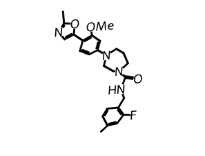 COc1cc(N2CCCN(C(=O)NCc3ccc(C)cc3F)CC2)ccc1-c1cnc(C)o1